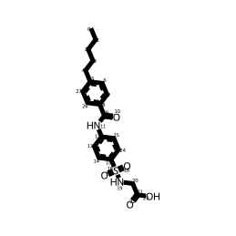 CCCCCc1ccc(C(=O)Nc2ccc(S(=O)(=O)NCC(=O)O)cc2)cc1